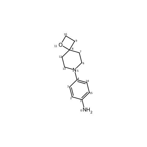 Nc1ccc(N2CCC3(CCO3)CC2)cc1